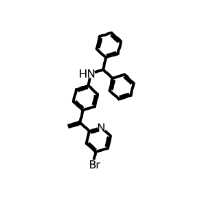 C=C(c1ccc(NC(c2ccccc2)c2ccccc2)cc1)c1cc(Br)ccn1